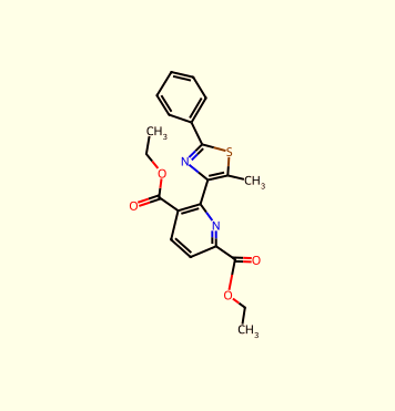 CCOC(=O)c1ccc(C(=O)OCC)c(-c2nc(-c3ccccc3)sc2C)n1